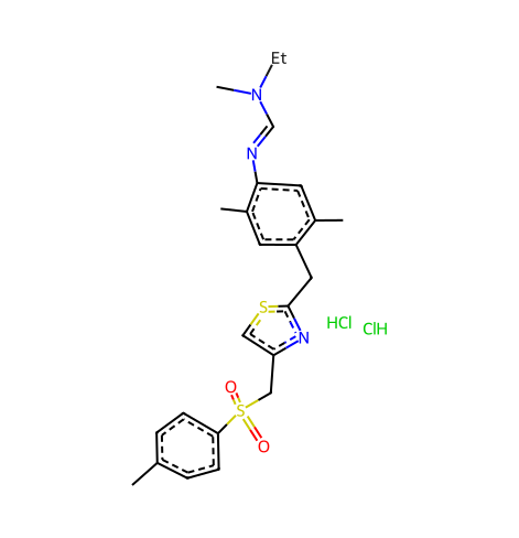 CCN(C)C=Nc1cc(C)c(Cc2nc(CS(=O)(=O)c3ccc(C)cc3)cs2)cc1C.Cl.Cl